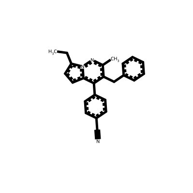 CCc1ccc2c(-c3ccc(C#N)cc3)c(Cc3ccccc3)c(C)nn12